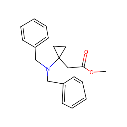 COC(=O)CC1(N(Cc2ccccc2)Cc2ccccc2)CC1